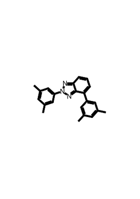 Cc1cc(C)cc(-c2cccc3nn(-c4cc(C)cc(C)c4)nc23)c1